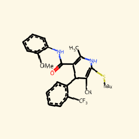 CCCCSC1=C(C#N)C(c2ccccc2C(F)(F)F)C(C(=O)Nc2ccccc2OC)=C(C)N1